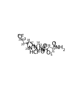 Cl.NC(=O)C1CCOC(S(=O)(=O)N2CCN(c3ccc(CCCC(F)(F)F)cn3)CC2)C1